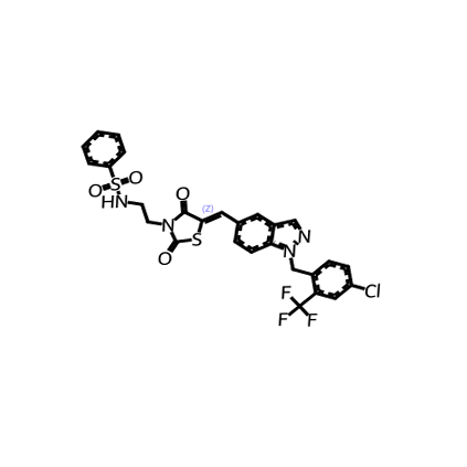 O=C1S/C(=C\c2ccc3c(cnn3Cc3ccc(Cl)cc3C(F)(F)F)c2)C(=O)N1CCNS(=O)(=O)c1ccccc1